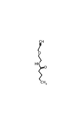 C#CCOCCNC(=O)CCCC